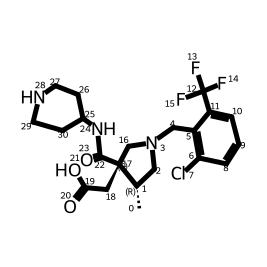 C[C@H]1CN(Cc2c(Cl)cccc2C(F)(F)F)C[C@@]1(CC(=O)O)C(=O)NC1CCNCC1